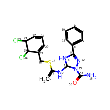 C=C(NC1NC(c2ccccc2)=NN1C(N)=O)SCC1=CC=CC(Cl)C1Cl